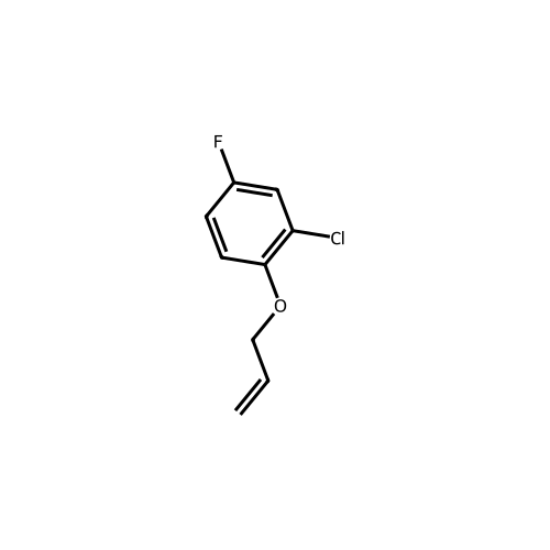 C=CCOc1ccc(F)cc1Cl